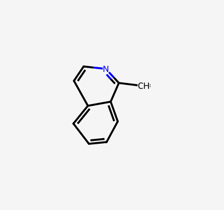 [CH]c1nccc2ccccc12